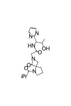 CC(C)C(=O)N1CCCC12CN(CC(=O)NC(c1ncccn1)C(C)O)C2=O